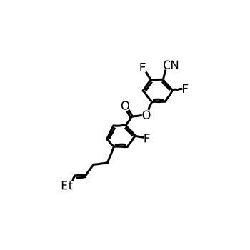 CC/C=C/CCc1ccc(C(=O)Oc2cc(F)c(C#N)c(F)c2)c(F)c1